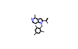 C=C(C)c1cc2c(C)nccc2n1Cc1c(C)cc(C)cc1C